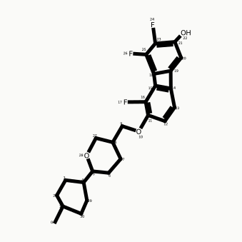 CC1CCC(C2CCC(COc3ccc4c(c3F)-c3c-4cc(O)c(F)c3F)CO2)CC1